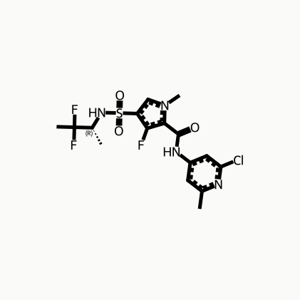 Cc1cc(NC(=O)c2c(F)c(S(=O)(=O)N[C@H](C)C(C)(F)F)cn2C)cc(Cl)n1